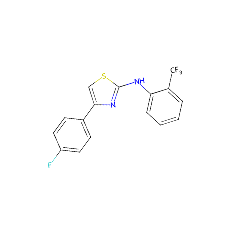 Fc1ccc(-c2csc(Nc3ccccc3C(F)(F)F)n2)cc1